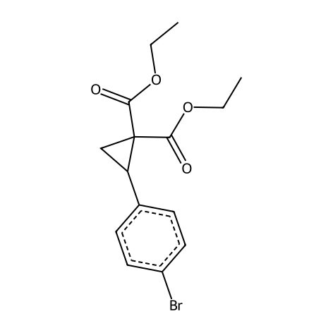 CCOC(=O)C1(C(=O)OCC)CC1c1ccc(Br)cc1